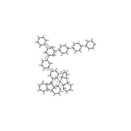 c1ccc(-c2ccc(-c3ccc(-c4nc(-c5ccccc5)nc(-c5cccc(-c6ccc7c(c6)-n6c8ccccc8c8cccc(c86)C76c7ccccc7-c7ccccc76)c5)n4)cc3)cc2)cc1